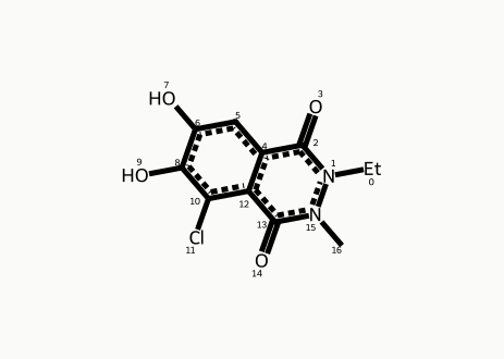 CCn1c(=O)c2cc(O)c(O)c(Cl)c2c(=O)n1C